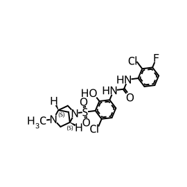 CN1C[C@@H]2C[C@H]1CN2S(=O)(=O)c1c(Cl)ccc(NC(=O)Nc2cccc(F)c2Cl)c1O